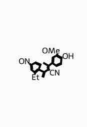 C=C(/C(C#N)=C(\C)c1ccc(O)c(OC)c1)c1ccc(N=O)cc1CC